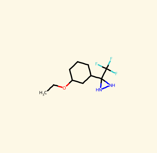 CCOC1CCCC(C2(C(F)(F)F)NN2)C1